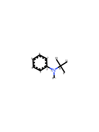 [CH2]N(c1ccccc1)C(C)(C)C